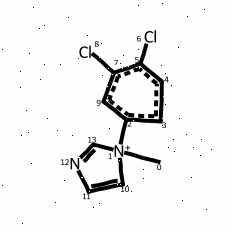 C[N+]1(c2ccc(Cl)c(Cl)c2)C=CN=C1